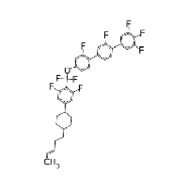 C/C=C/CCC1CCC(c2cc(F)c(C(F)(F)Oc3ccc(-c4ccc(-c5cc(F)c(F)c(F)c5)c(F)c4)c(F)c3)c(F)c2)CC1